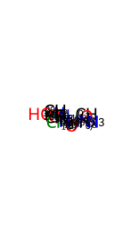 CC(C(=O)Nc1cccnc1)c1ccc(OC2CCN(c3ncnc(OCC(C)(C)O)c3Cl)C2)cc1